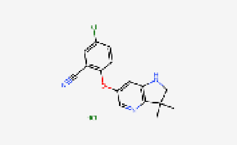 CC1(C)CNc2cc(Oc3ccc(Cl)cc3C#N)cnc21.Cl